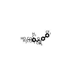 Cc1cc(C(C)C(=O)Nc2ccc(-c3cccc(C(F)(F)F)c3)cc2)ccc1OC(C)(C)C(=O)O